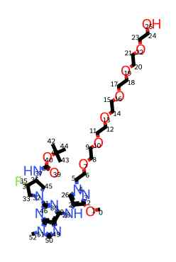 COc1nn(CCOCCOCCOCCOCCOCCOCCO)cc1Nc1nc(N2C[C@@H](F)[C@H](NC(=O)OC(C)(C)C)C2)nc2c1ncn2C